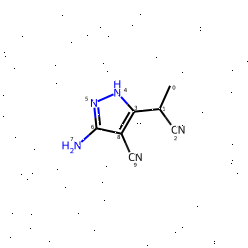 CC(C#N)c1[nH]nc(N)c1C#N